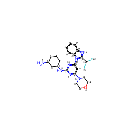 NC1CCCC(Nc2nc(N3CCOCC3)cc(-n3c(C(F)F)nc4ccccc43)n2)C1